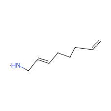 C=CCCCC=CC[NH]